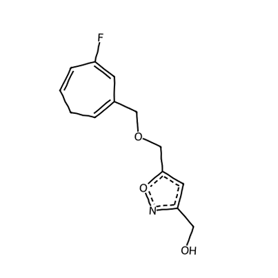 OCc1cc(COCC2=CCC=CC(F)=C2)on1